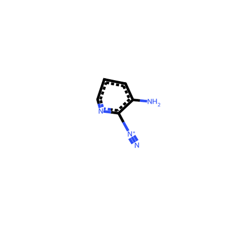 N#[N+]c1ncccc1N